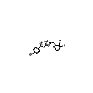 CCc1ccc([C@@H](O)Cc2noc(Cn3nccc(Cl)c3=O)n2)cc1